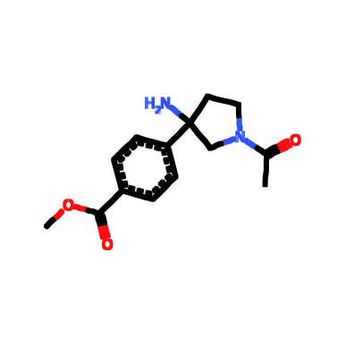 COC(=O)c1ccc(C2(N)CCN(C(C)=O)C2)cc1